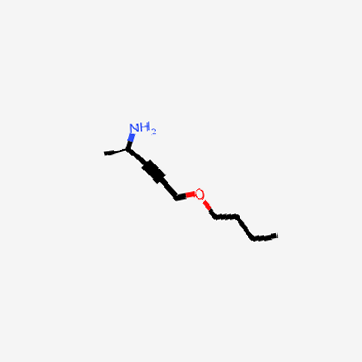 CCCCOCC#C[C@@H](C)N